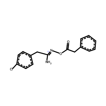 N/C(Cc1ccc(Cl)cc1)=N\OC(=O)Cc1ccccc1